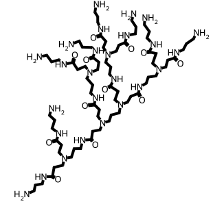 NCCCNC(=O)CCN(CCCNC(=O)CCN(CCCN(CCC(=O)NCCCN(CCC(=O)NCCCN)CCC(=O)NCCCN)CCC(=O)NCCCN(CCC(=O)NCCCN)CCC(=O)NCCCN)CCC(=O)NCCCN(CCC(=O)NCCCN)CCC(=O)NCCCN)CCC(=O)NCCCN